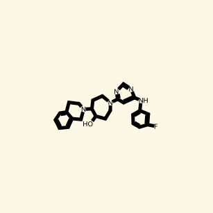 OC1CCN(c2cc(Nc3cccc(F)c3)ncn2)CCC1N1CCc2ccccc2C1